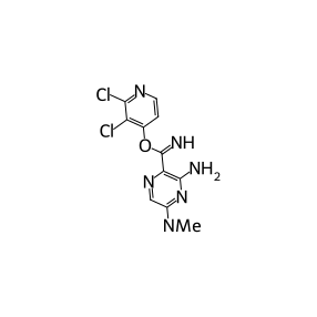 CNc1cnc(C(=N)Oc2ccnc(Cl)c2Cl)c(N)n1